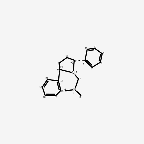 CN(C)CN1[C@@H](c2ccccc2)CC[C@@H]1c1ccccc1